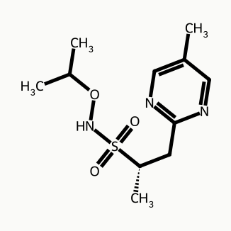 Cc1cnc(C[C@H](C)S(=O)(=O)NOC(C)C)nc1